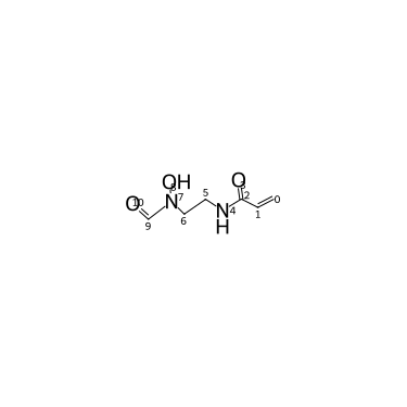 C=CC(=O)NCCN(O)C=O